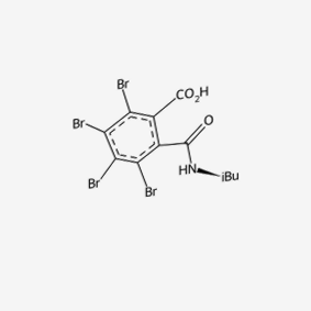 CC[C@H](C)NC(=O)c1c(Br)c(Br)c(Br)c(Br)c1C(=O)O